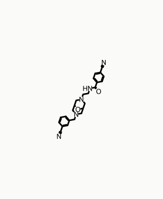 N#Cc1ccc(C(=O)NCCN2CC3CN(Cc4cccc(C#N)c4)CC(C2)O3)cc1